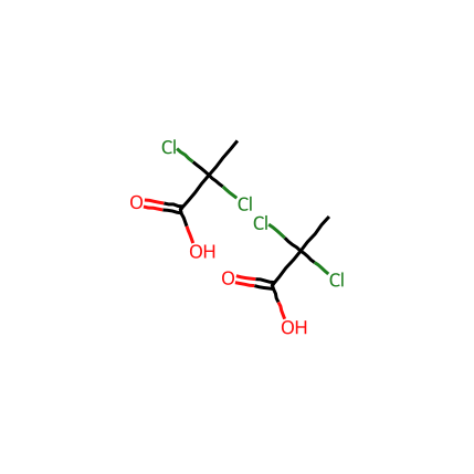 CC(Cl)(Cl)C(=O)O.CC(Cl)(Cl)C(=O)O